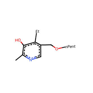 CCCCCOCc1cnc(C)c(O)c1CC